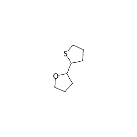 C1CS[C](C2CCCO2)C1